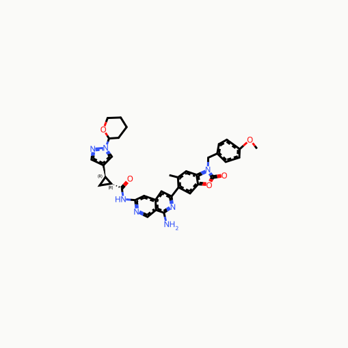 COc1ccc(Cn2c(=O)oc3cc(-c4cc5cc(NC(=O)[C@@H]6C[C@H]6c6cnn(C7CCCCO7)c6)ncc5c(N)n4)c(C)cc32)cc1